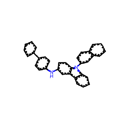 c1ccc(-c2ccc(Nc3ccc4c(c3)c3ccccc3n4-c3ccc4ccccc4c3)cc2)cc1